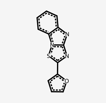 c1coc(-c2nc3nc4ccccc4n3s2)c1